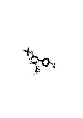 COc1ccc(N(CC(=O)OC(C)(C)C)C(=O)[C@@H]2O[C@@H]2C)cc1